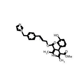 COC(=O)C1=C(C)NC(C)=C(C(=O)OC/C=C/c2ccc(Cn3ccnc3)cc2)C1c1cccc(O)c1